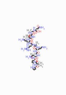 CC(C)[C@H](NC(=O)[C@H](CCCCN)NC(=O)[C@H](CCCNC(=N)N)NC(=O)[C@H](C)NC(=O)[C@H](CCCCN)NC(=O)[C@H](C)NC(=O)[C@H](CCC(N)=O)NC(=O)[C@@H]1CCCN1C(=O)[C@@H](NC(=O)[C@@H]1CCCN1)C(C)C)C(=O)N[C@@H](C)C(=O)N[C@@H](C)C(=O)N[C@@H](CCC(N)=O)C(=O)O